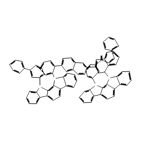 C=C(/C=C\c1ccccc1)c1cccc(-n2c3ccccc3c3ccc4c5ccccc5n(C5CC(c6ccc7cc(-c8ccccc8-n8c9ccccc9c9ccc%10c%11ccccc%11n(-c%11cccc(-c%12ccccc%12)c%11)c%10c98)ccc7c6)=Cc6ccccc65)c4c32)c1